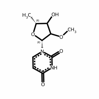 COC1C(O)[C@@H](C)O[C@H]1n1ccc(=O)[nH]c1=O